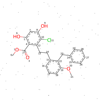 COC(=O)c1c(O)cc(O)c(Cl)c1CCc1cccc(OC)c1Cc1ccccc1